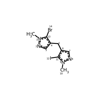 Cn1ncc(Cc2cnn(C)c2I)c1Br